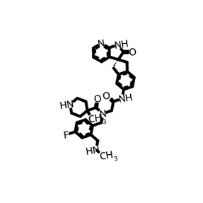 CNCc1cc(F)ccc1CN(CC(=O)Nc1ccc2c(c1)C[C@@]1(C2)C(=O)Nc2ncccc21)C(=O)C1(C)CCNCC1